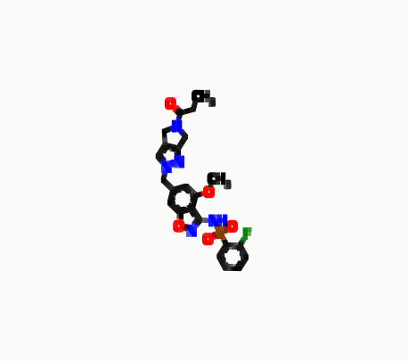 CCC(=O)N1Cc2cn(Cc3cc(OC)c4c(NS(=O)(=O)c5ccccc5F)noc4c3)nc2C1